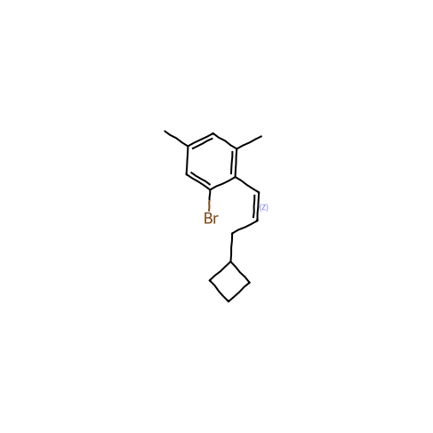 Cc1cc(C)c(/C=C\CC2CCC2)c(Br)c1